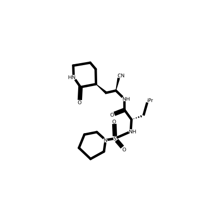 CC(C)C[C@H](NS(=O)(=O)N1CCCCC1)C(=O)N[C@H](C#N)C[C@@H]1CCCNC1=O